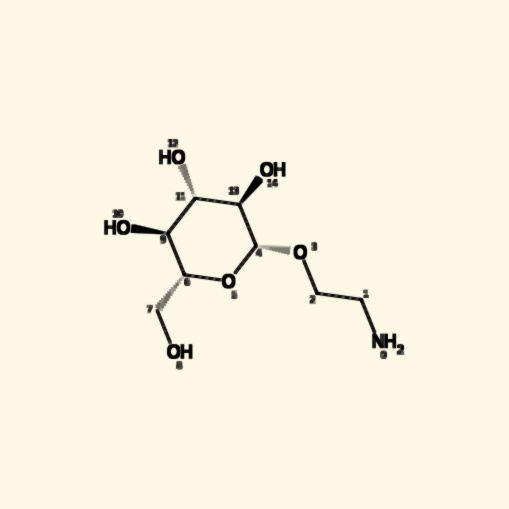 NCCO[C@@H]1O[C@H](CO)[C@@H](O)[C@H](O)[C@H]1O